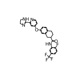 O=C(Nc1cc(C(F)(F)F)ccc1F)C1CCc2ccc(Oc3ccnc(C4=NCCN4)c3)cc2C1